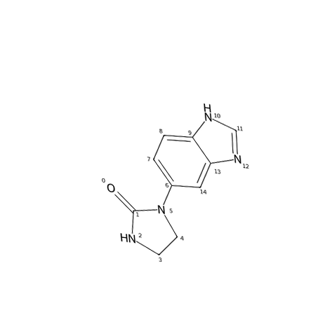 O=C1NCCN1c1ccc2[nH]cnc2c1